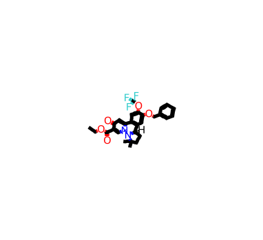 CCOC(=O)c1cn2c(cc1=O)-c1cc(OC(F)(F)F)c(OCc3ccccc3)cc1[C@H]1CCC(C)(C)N12